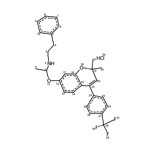 CC(NCCc1ccccc1)Oc1ccc2c(c1)OC(C)(C)C=C2c1ccc(C(F)(F)F)cc1.Cl